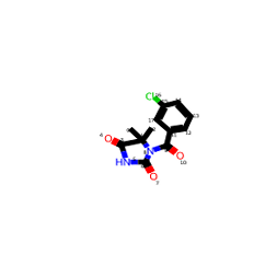 CC1(C)C(=O)NC(=O)N1C(=O)c1cccc(Cl)c1